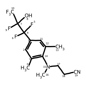 Cc1cc(C(F)(F)C(O)(F)C(F)(F)F)cc(C)c1N(C)CCC#N